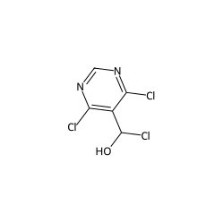 OC(Cl)c1c(Cl)ncnc1Cl